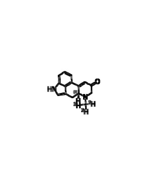 [2H]C([2H])([2H])N1CC(=O)C=C2c3cccc4[nH]cc(c34)C[C@H]21